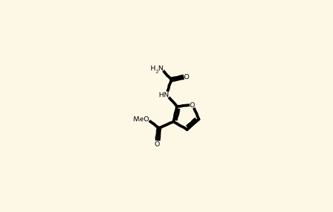 COC(=O)c1ccoc1NC(N)=O